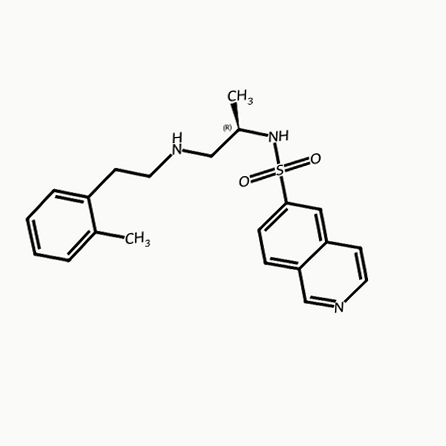 Cc1ccccc1CCNC[C@@H](C)NS(=O)(=O)c1ccc2cnccc2c1